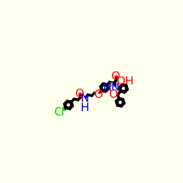 O=C(CCc1ccc(Cl)cc1)NCCCOc1ccc(C[C@H](Nc2ccccc2C(=O)c2ccccc2)C(=O)O)cc1